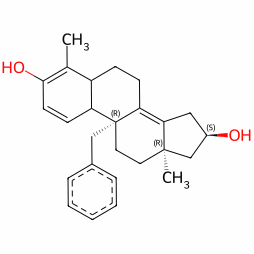 CC1=C(O)C=CC2C1CCC1=C3C[C@@H](O)C[C@@]3(C)CC[C@]12Cc1ccccc1